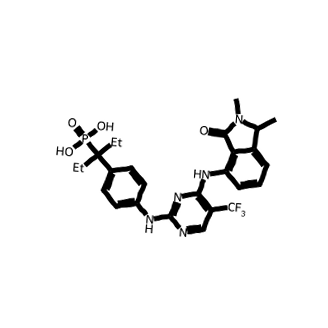 CCC(CC)(c1ccc(Nc2ncc(C(F)(F)F)c(Nc3cccc4c3C(=O)N(C)C4C)n2)cc1)P(=O)(O)O